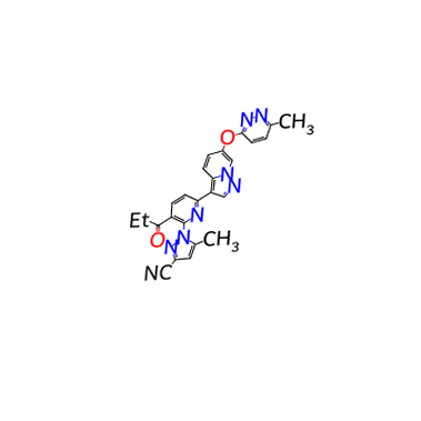 CCC(=O)c1ccc(-c2cnn3cc(Oc4ccc(C)nn4)ccc23)nc1-n1nc(C#N)cc1C